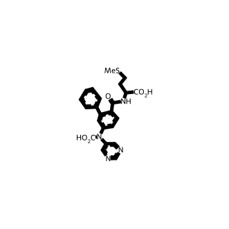 CSCCC(NC(=O)c1ccc(N(C(=O)O)c2cncnc2)cc1-c1ccccc1)C(=O)O